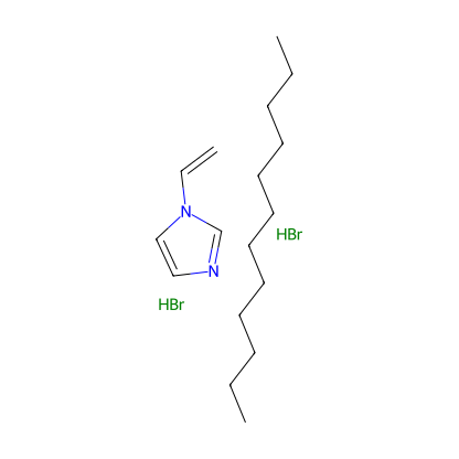 Br.Br.C=Cn1ccnc1.CCCCCCCCCCCC